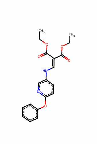 CCOC(=O)C(=CNc1ccc(Oc2ccccc2)nc1)C(=O)OCC